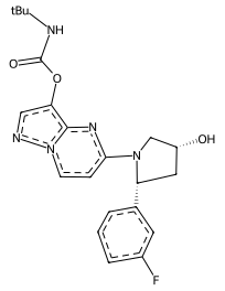 CC(C)(C)NC(=O)Oc1cnn2ccc(N3C[C@H](O)C[C@@H]3c3cccc(F)c3)nc12